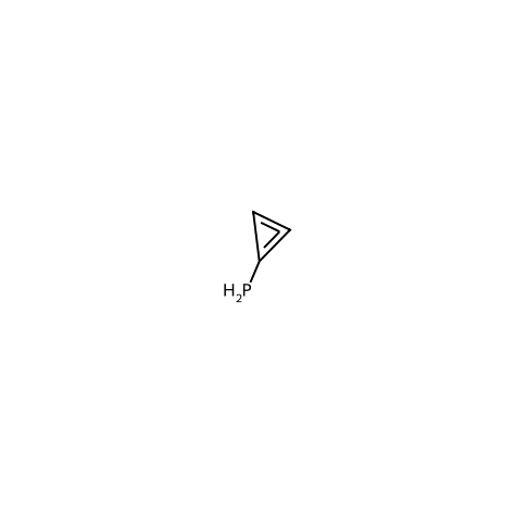 PC1=C=C1